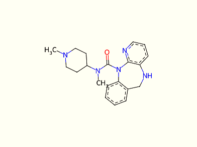 CN1CCC(N(C)C(=O)N2c3ccccc3CNc3cccnc32)CC1